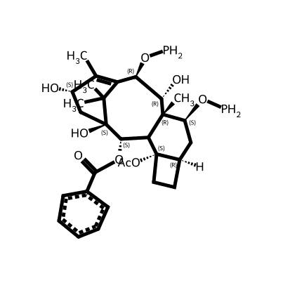 CC(=O)O[C@@]12CC[C@@H]1C[C@H](OP)[C@]1(C)C2[C@H](OC(=O)c2ccccc2)[C@]2(O)C[C@H](O)C(C)=C([C@@H](OP)[C@@H]1O)C2(C)C